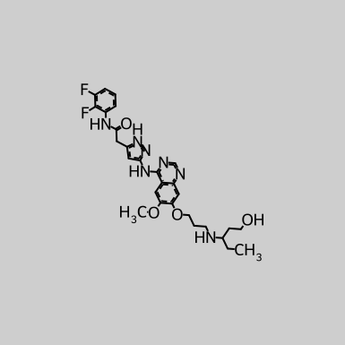 CCC(CCO)NCCCOc1cc2ncnc(Nc3cc(CC(=O)Nc4cccc(F)c4F)[nH]n3)c2cc1OC